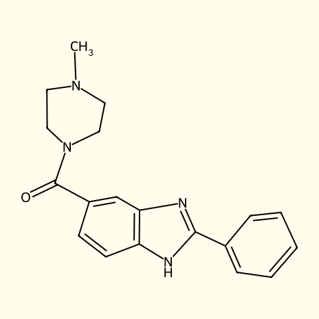 CN1CCN(C(=O)c2ccc3[nH]c(-c4ccccc4)nc3c2)CC1